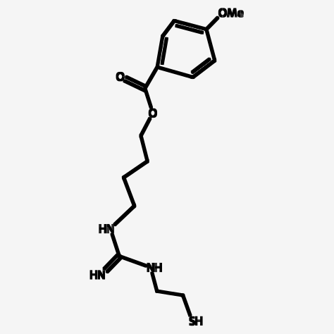 COc1ccc(C(=O)OCCCCNC(=N)NCCS)cc1